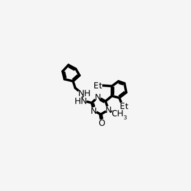 CCc1cccc(CC)c1-c1nc(NNCc2ccccc2)nc(=O)n1C